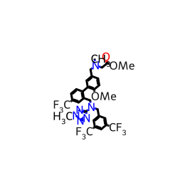 COC(=O)CN(C)Cc1ccc(OC)c(-c2ccc(C(F)(F)F)cc2CN(Cc2cc(C(F)(F)F)cc(C(F)(F)F)c2)c2nnn(C)n2)c1